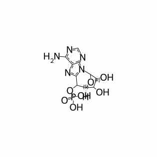 Nc1ncnc2c1nc1n2C2O[C@H](C1OP(=O)(O)O)C(O)[C@H]2O